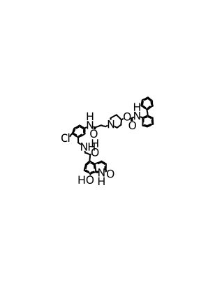 O=C(CCN1CCC(OC(=O)Nc2ccccc2-c2ccccc2)CC1)Nc1ccc(Cl)c(CNCC(O)c2ccc(O)c3[nH]c(=O)ccc23)c1